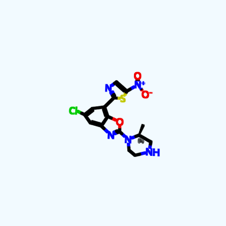 C[C@H]1CNCCN1c1nc2cc(Cl)cc(-c3ncc([N+](=O)[O-])s3)c2o1